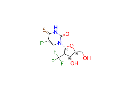 O=c1[nH]c(=S)c(F)cn1[C@@H]1O[C@H](CO)[C@H](O)C1C(F)(F)F